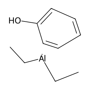 C[CH2][Al][CH2]C.Oc1ccccc1